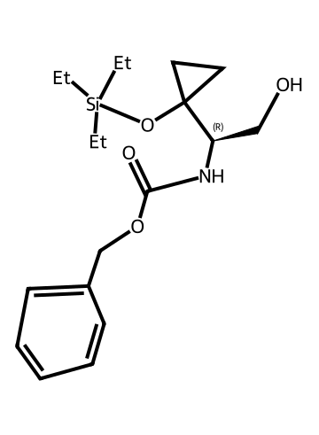 CC[Si](CC)(CC)OC1([C@@H](CO)NC(=O)OCc2ccccc2)CC1